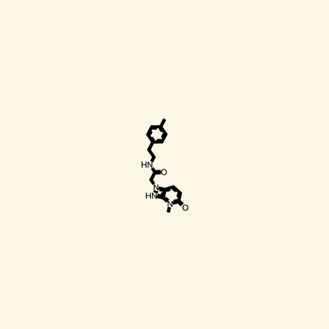 Cc1ccc(CCNC(=O)Cn2[nH]c3c2ccc(=O)n3C)cc1